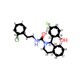 O=C(NCCc1ccccc1Cl)N1CCc2ccccc2C1c1cc(F)ccc1O